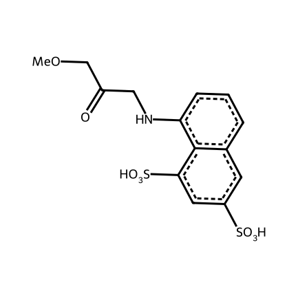 COCC(=O)CNc1cccc2cc(S(=O)(=O)O)cc(S(=O)(=O)O)c12